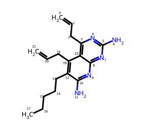 C=CCc1nc(N)nc2nc(N)c(CCCCC)c(CC=C)c12